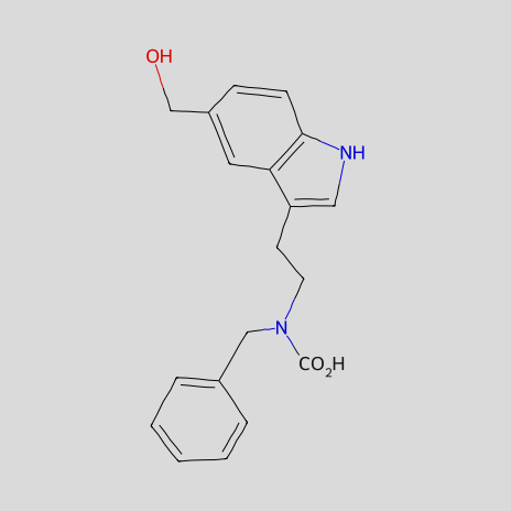 O=C(O)N(CCc1c[nH]c2ccc(CO)cc12)Cc1ccccc1